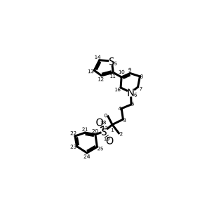 CC(C)(CCCN1CCC=C(c2cccs2)C1)S(=O)(=O)c1ccccc1